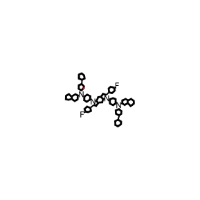 Fc1ccc(-c2cc3cc4c(cc(-c5ccc(F)cc5)n4-c4ccc(N(c5ccc(-c6ccccc6)cc5)c5ccc6ccccc6c5)cc4)cc3n2-c2ccc(N(c3ccc(-c4ccccc4)cc3)c3ccc4ccccc4c3)cc2)cc1